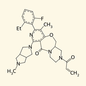 C=CC(=O)N1CCN2C(=O)c3c(N4CC5CN(C)CC5C4)nc(-c4c(F)cccc4CC)c(C)c3OCC2C1